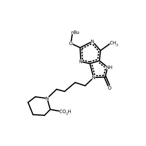 CCCCOc1nc(C)c2[nH]c(=O)n(CCCCN3CCCCC3C(=O)O)c2n1